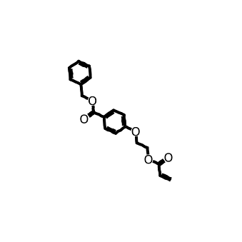 C=CC(=O)OCCOc1ccc(C(=O)OCc2ccccc2)cc1